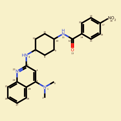 CN(C)c1cc(NC2CCC(NC(=O)c3ccc([N+](=O)[O-])cc3)CC2)nc2ccccc12